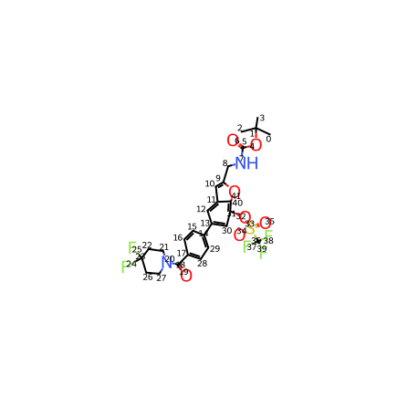 CC(C)(C)OC(=O)NCc1cc2cc(-c3ccc(C(=O)N4CCC(F)(F)CC4)cc3)cc(OS(=O)(=O)C(F)(F)F)c2o1